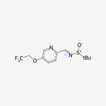 CC(C)(C)[S+]([O-])/N=C/c1ccc(OCC(F)(F)F)cn1